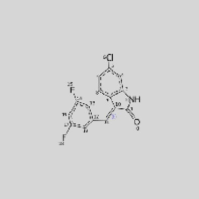 O=C1Nc2cc(Cl)ccc2/C1=C\c1cc(F)cc(F)c1